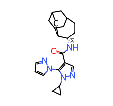 O=C(N[C@H]1CCC2CC3CC(C2)C1C3)c1cnn(C2CC2)c1-n1cccn1